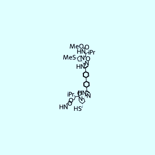 COC(=O)N[C@H](C(=O)N1C[C@@H](SC)C[C@H]1c1ncc(-c2ccc(-c3ccc(-c4cnc([C@@H]5C[C@H](CS)CN5C(=O)[C@@H](COOC=N)C(C)C)[nH]4)cc3)cc2)[nH]1)C(C)C